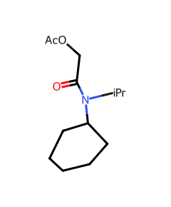 CC(=O)OCC(=O)N(C(C)C)C1CCCCC1